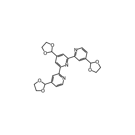 c1cc(C2OCCO2)cc(-c2cc(C3OCCO3)cc(-c3cc(C4OCCO4)ccn3)n2)n1